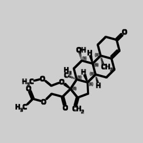 C=C1C[C@H]2[C@@H]3CCC4=CC(=O)CC[C@]4(C)[C@H]3[C@@H](O)C[C@]2(C)[C@@]1(OCOC)C(=O)COC(C)=O